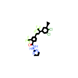 O=C(NNc1ncccn1)c1ccc(C(F)=CC(c2cc(Cl)c(Cl)c(C3CC3)c2)C(F)(F)F)cc1C(F)(F)F